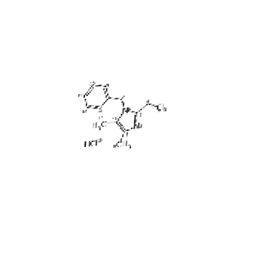 Cc1nc(CCl)n(Cc2ccccc2)c1C.Cl